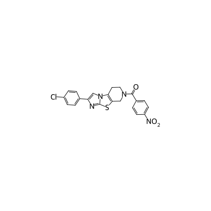 O=C(c1ccc([N+](=O)[O-])cc1)N1CCc2c(sc3nc(-c4ccc(Cl)cc4)cn23)C1